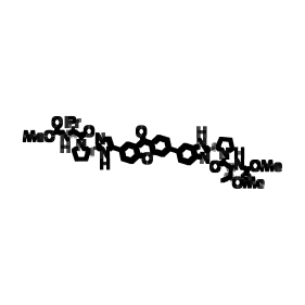 COC(=O)N[C@H](C(=O)N1CCC[C@H]1c1ncc(-c2ccc3oc4cc(-c5ccc6nc([C@@H]7CCCN7C(=O)[C@@H](NC(=O)OC)[C@@H](C)OC)[nH]c6c5)ccc4c(=O)c3c2)[nH]1)C(C)C